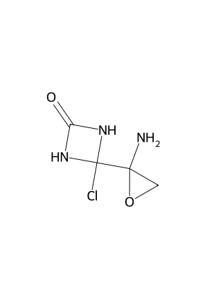 NC1(C2(Cl)NC(=O)N2)CO1